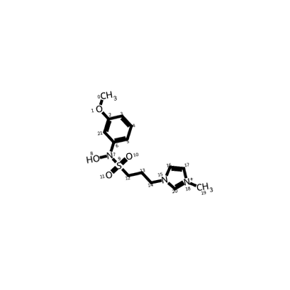 COc1cccc(N(O)S(=O)(=O)CCCn2cc[n+](C)c2)c1